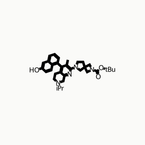 Cc1c(N2CCC3(CN(C(=O)OC(C)(C)C)C3)C2)nc2c(c1-c1cccc3cc(O)ccc13)CCN(C(C)C)C2